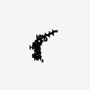 CCCCCCC(=O)Nc1ccc(S(=O)(=O)Nc2nnc(S(N)(=O)=O)s2)cc1